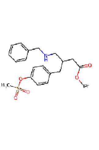 CC(C)OC(=O)CC(CNCc1ccccc1)Cc1ccc(OS(C)(=O)=O)cc1